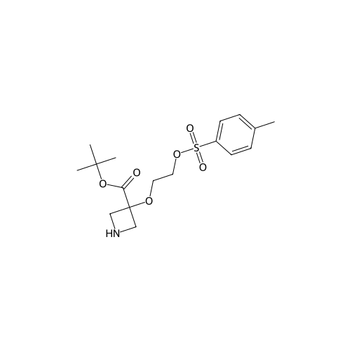 Cc1ccc(S(=O)(=O)OCCOC2(C(=O)OC(C)(C)C)CNC2)cc1